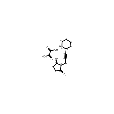 O=C(O)C(=O)O.O=C1CCC(=O)N1CC#C[C@@H]1CCCCN1